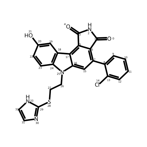 O=C1NC(=O)c2c1c(-c1ccccc1Cl)cc1c2c2cc(O)ccc2n1CCSc1ncc[nH]1